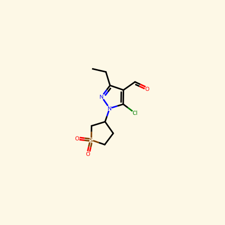 CCc1nn(C2CCS(=O)(=O)C2)c(Cl)c1C=O